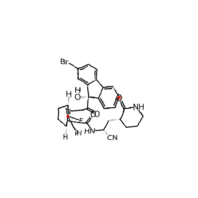 N#C[C@@H](C[C@H]1CCCNC1=O)NC(=O)[C@H]1[C@H]2CC[C@H](CC2(F)F)N1C(=O)[C@]1(O)c2ccccc2-c2ccc(Br)cc21